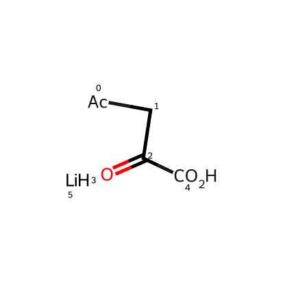 CC(=O)CC(=O)C(=O)O.[LiH]